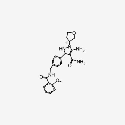 COc1ccccc1C(=O)NCc1ccc(C2NN([C@H]3CCOC3)C(N)=C2C(N)=O)cc1